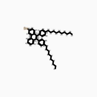 CCCCCCCCCCc1ccc(-c2c(-c3ccc(CCCCCCCCCC)cc3)c3ccc(Br)cc3c3ccccc23)cc1